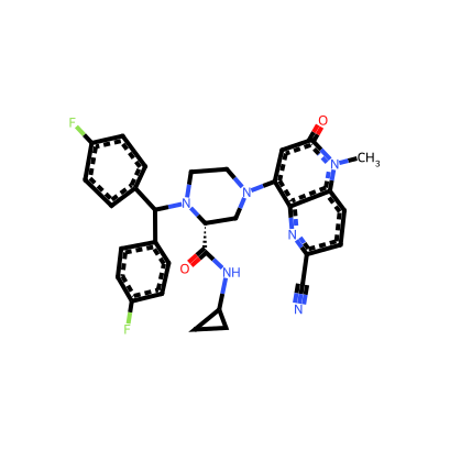 Cn1c(=O)cc(N2CCN(C(c3ccc(F)cc3)c3ccc(F)cc3)[C@@H](C(=O)NC3CC3)C2)c2nc(C#N)ccc21